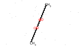 CCCCCCCCCCCCCC(=O)OCCCCCCOC(=O)CCCCCCCCCCCCC